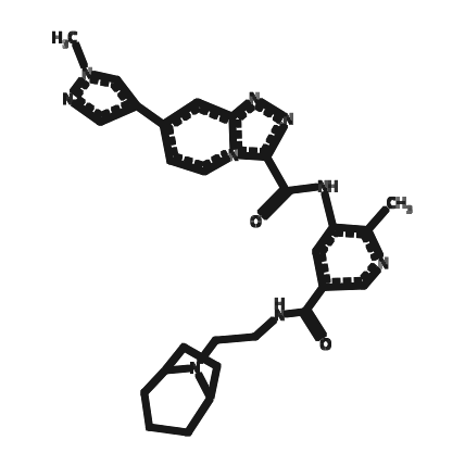 Cc1ncc(C(=O)NCCN2C3CCCC2CC3)cc1NC(=O)c1nnc2cc(-c3cnn(C)c3)ccn12